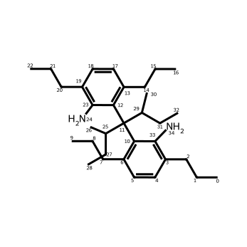 CCCc1ccc(CCC)c(C(c2c(CCC)ccc(CCC)c2N)(C(C)CC)C(C)CC)c1N